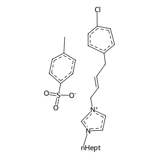 CCCCCCCn1cc[n+](CC=CCc2ccc(Cl)cc2)c1.Cc1ccc(S(=O)(=O)[O-])cc1